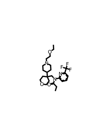 CCOCCN1CCC(C2(CN(C(=O)CC)c3cccc(C(F)(F)F)n3)CCOCC2)CC1